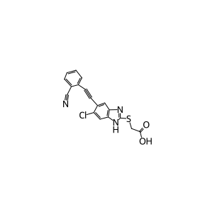 N#Cc1ccccc1C#Cc1cc2nc(SCC(=O)O)[nH]c2cc1Cl